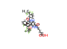 CC(F)(F)c1cc(C(=O)N[C@](Cc2ccccc2)(c2ccc(C(=O)NCCCCCC(=O)O)cc2)c2cc(F)cc(OC(F)(F)C(F)F)c2)ccc1F